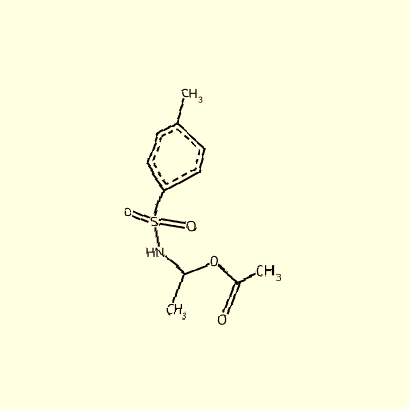 CC(=O)OC(C)NS(=O)(=O)c1ccc(C)cc1